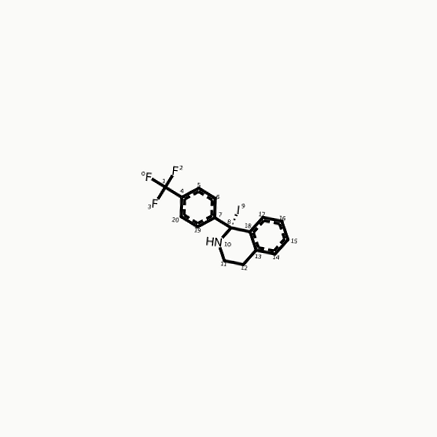 FC(F)(F)c1ccc([C@]2(I)NCCc3ccccc32)cc1